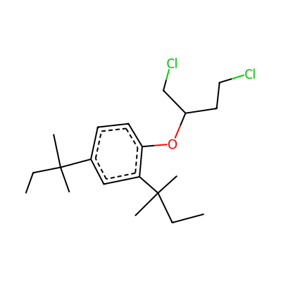 CCC(C)(C)c1ccc(OC(CCl)CCCl)c(C(C)(C)CC)c1